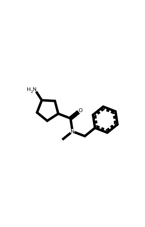 CN(Cc1ccccc1)C(=O)C1CCC(N)C1